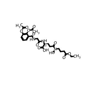 CCOC(=O)CCCN(O)C(=O)CC[C@H](NC(=O)CNC(=O)c1cccc(OC(C)=O)c1OC(C)=O)C(=O)O